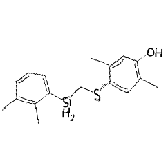 Cc1cc(SC[SiH2]c2cccc(C)c2C)c(C)cc1O